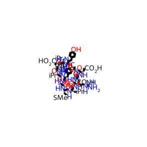 CSCC[C@H](NC(=O)[C@H](C)NC(=O)[C@H](Cc1ccccc1)NC(=O)[C@@H](NC(=O)[C@H](CCC(=O)O)NC(=O)[C@H](CC(C)C)NC(=O)[C@@H](N)Cc1ccc(O)cc1)C(C)C)C(=O)N[C@@H](CC(C)C)C(=O)N[C@@H](CCCNC(=N)N)C(=O)N[C@@H](CC(=O)O)C(=O)N[C@@H](CCC(=O)O)C(=O)N[C@@H](CC(=O)O)C(=O)O